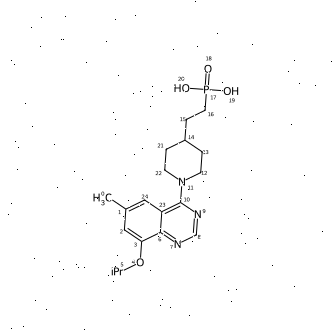 Cc1cc(OC(C)C)c2ncnc(N3CCC(CCP(=O)(O)O)CC3)c2c1